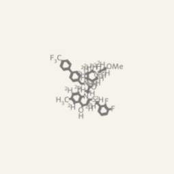 [2H]C1=C(SC([2H])([2H])c2cccc(F)c2F)N(C([2H])([2H])C(=O)N(Cc2ccc(-c3ccc(C(F)(F)F)cc3)cc2)C2([2H])C([2H])([2H])C([2H])([2H])N(C([2H])([2H])C([2H])([2H])OC)C([2H])([2H])C2([2H])[2H])c2c([2H])c([2H])c(C)c([2H])c2C1O